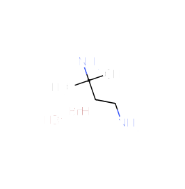 Br.Br.CC(C)(N)CCN